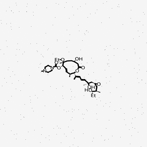 CCO[C@]1(C)CC[C@@H](O)CC(=O)O[C@H](/C(C)=C/C=C/[C@](C)(O)C[C@H]2O[C@@H]2[C@@H](C)[C@@H](O)CC)[C@@H](C)/C=C/[C@@H]1OC(=O)N1CCN(C)CC1